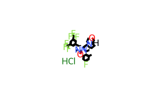 Cc1cc(F)ccc1[C@H]1C[C@]2(CC[C@H]3COCCN32)CCN1C(=O)N(C)[C@H](C)c1cc(C(F)(F)F)cc(C(F)(F)F)c1.Cl